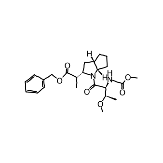 COC(=O)N[C@H](C(=O)N1[C@H](C(C)C(=O)OCc2ccccc2)C[C@@H]2CCC[C@@H]21)[C@@H](C)OC